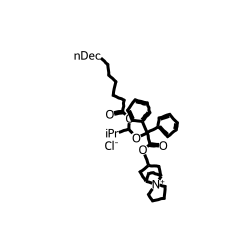 CCCCCCCCCCCCCCCC(=O)OC(OC(C(=O)OC1CC2CCC(C1)[N+]21CCCC1)(c1ccccc1)c1ccccc1)C(C)C.[Cl-]